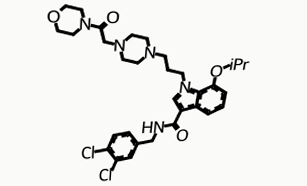 CC(C)Oc1cccc2c(C(=O)NCc3ccc(Cl)c(Cl)c3)cn(CCCN3CCN(CC(=O)N4CCOCC4)CC3)c12